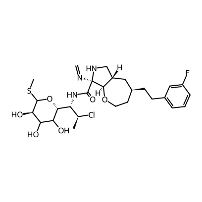 C=N[C@]1(C(=O)N[C@H]([C@H](C)Cl)[C@H]2OC(SC)[C@H](O)C(O)C2O)NC[C@@H]2C[C@@H](CCc3cccc(F)c3)CCO[C@H]21